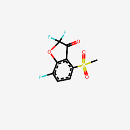 CS(=O)(=O)c1ccc(F)c2c1C(=O)C(F)(F)O2